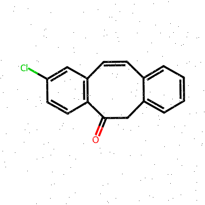 O=C1Cc2ccccc2C=Cc2cc(Cl)ccc21